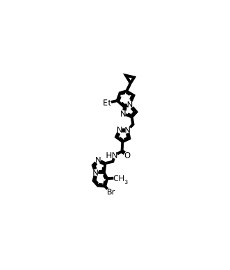 CCc1cc(C2CC2)cn2cc(Cn3cc(C(=O)NCc4ncn5ccc(Br)c(C)c45)cn3)nc12